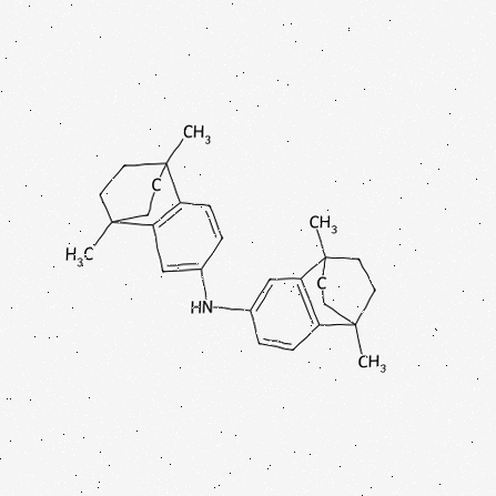 CC12CCC(C)(CC1)c1cc(Nc3ccc4c(c3)C3(C)CCC4(C)CC3)ccc12